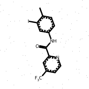 Cc1ccc(NC(=O)c2cc(C(F)(F)F)ccn2)cc1I